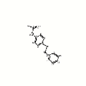 CC(=O)Oc1ccc(CCc2c[c]c[c]c2)cc1